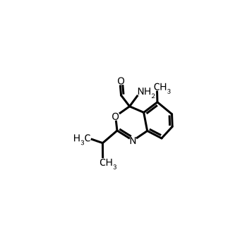 Cc1cccc2c1C(N)(C=O)OC(C(C)C)=N2